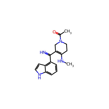 CNC1=C(C(=N)c2cccc3[nH]ccc23)CN(C(C)=O)CC1